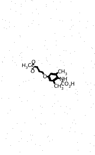 Cc1cc(OCCCS(C)(=O)=O)cc(C)c1NC(=O)O